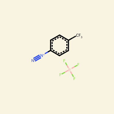 F[B-](F)(F)F.N#[N+]c1ccc(C(F)(F)F)cc1